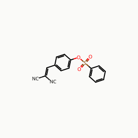 [C-]#[N+]/C(C#N)=C\c1ccc(OS(=O)(=O)c2ccccc2)cc1